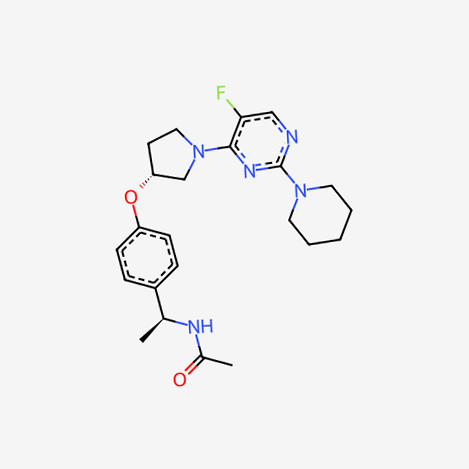 CC(=O)N[C@@H](C)c1ccc(O[C@@H]2CCN(c3nc(N4CCCCC4)ncc3F)C2)cc1